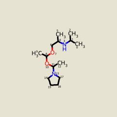 CC(C)NC(C)COC(C)OC(C)N1CCCC1